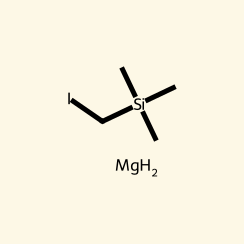 C[Si](C)(C)CI.[MgH2]